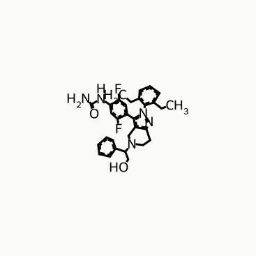 CCc1cccc(CC)c1-n1nc2c(c1-c1cc(F)c(NC(N)=O)cc1F)CN(C(CO)c1ccccc1)CC2